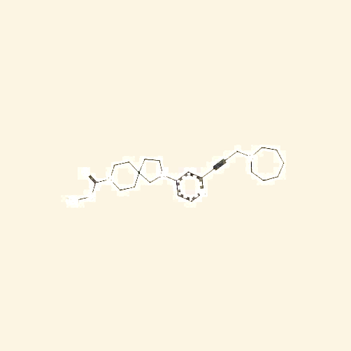 CC(C)(C)OC(=O)N1CCC2(CC1)CCN(c1ccnc(C#CCN3CCCCCC3)c1)C2